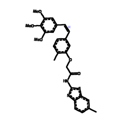 COc1cc(/C=C\c2ccc(C)c(OCC(=O)Nc3nc4ccc(C)cc4s3)c2)cc(OC)c1OC